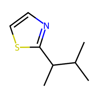 CC(C)C(C)c1nccs1